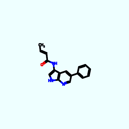 CC=CC(=O)Nc1c[nH]c2ncc(-c3ccccc3)cc12